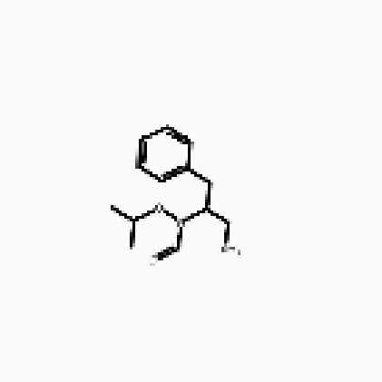 CC(C)ON(C=O)C(CN)Cc1ccccc1